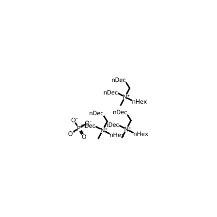 CCCCCCCCCCC[N+](C)(CCCCCC)CCCCCCCCCC.CCCCCCCCCCC[N+](C)(CCCCCC)CCCCCCCCCC.CCCCCCCCCCC[N+](C)(CCCCCC)CCCCCCCCCC.O=P([O-])([O-])[O-]